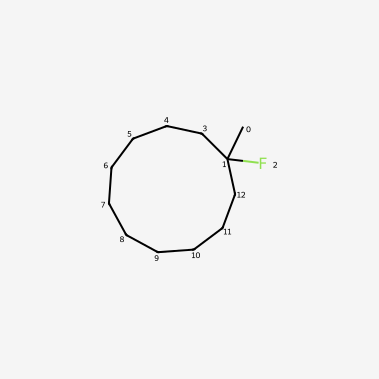 CC1(F)CCCCCCCCCC1